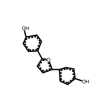 Oc1ccc(-c2ccc(-c3ccc(O)cc3)o2)cc1